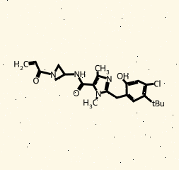 C=CC(=O)N1CC(NC(=O)c2c(C)nc(Cc3cc(C(C)(C)C)c(Cl)cc3O)n2C)C1